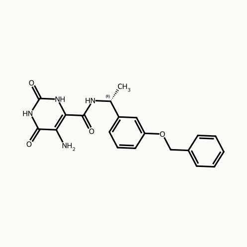 C[C@@H](NC(=O)c1[nH]c(=O)[nH]c(=O)c1N)c1cccc(OCc2ccccc2)c1